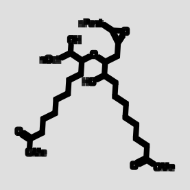 CCCCCCCCC(O)C(CCCCCCCC(=O)OC)OC(CC1OC1CCCCC)C(O)CCCCCCCC(=O)OC